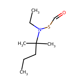 CCCC(C)(C)N(CC)S[C]=O